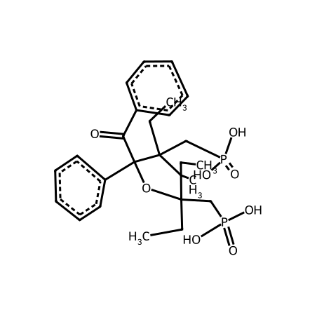 CCC(CC)(CP(=O)(O)O)OC(C(=O)c1ccccc1)(c1ccccc1)C(CC)(CC)CP(=O)(O)O